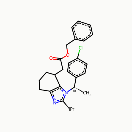 CC(C)c1nc2c(n1[C@@H](C)c1ccc(Cl)cc1)C(CC(=O)OCc1ccccc1)CCC2